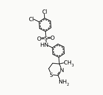 CC1(c2cccc(NS(=O)(=O)c3ccc(Cl)c(Cl)c3)c2)CCSC(N)=N1